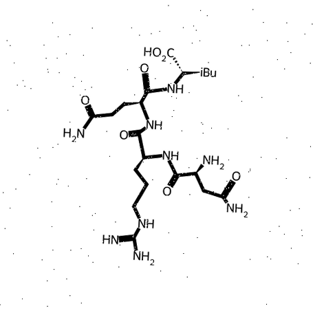 CC[C@H](C)[C@H](NC(=O)[C@H](CCC(N)=O)NC(=O)[C@H](CCCNC(=N)N)NC(=O)[C@@H](N)CC(N)=O)C(=O)O